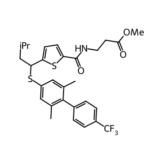 COC(=O)CCNC(=O)c1ccc(C(CC(C)C)Sc2cc(C)c(-c3ccc(C(F)(F)F)cc3)c(C)c2)s1